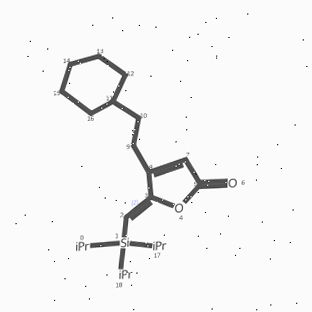 CC(C)[Si](/C=C1\OC(=O)C=C1CCC1CCCCC1)(C(C)C)C(C)C